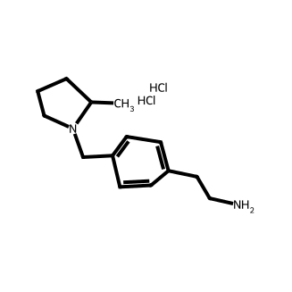 CC1CCCN1Cc1ccc(CCN)cc1.Cl.Cl